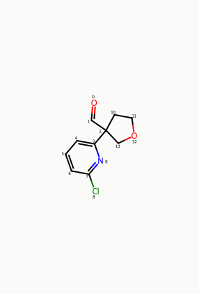 O=CC1(c2cccc(Cl)n2)CCOC1